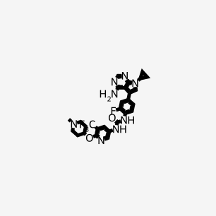 CN1CCC(Oc2ncc(NC(=O)Nc3ccc(-c4cn(C5CC5)c5ncnc(N)c45)cc3F)cc2C(F)(F)F)CC1